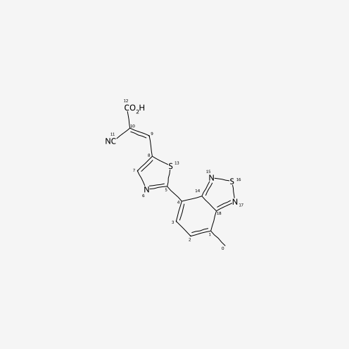 Cc1ccc(-c2ncc(/C=C(\C#N)C(=O)O)s2)c2nsnc12